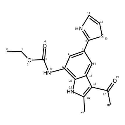 CCOC(=O)Nc1cc(-c2nccs2)cc2c(C(C)=O)c(C)[nH]c12